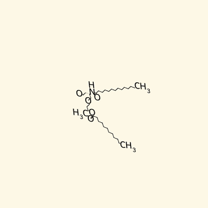 CCCCCCCCCCCCCC(=O)N[C@@H](CC=O)COCC[C@@H](C)OC(=O)CCCCCCCCCCC